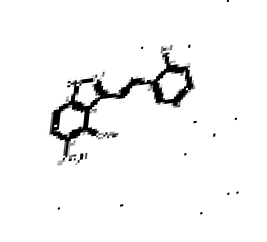 COc1c(C(=O)O)ccc2[nH]nc(/C=C/c3ccccc3F)c12